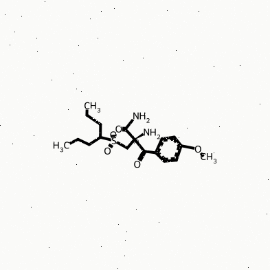 CCCC(CCC)S(=O)(=O)C[C@](N)(C(N)=O)C(=O)c1ccc(OC)cc1